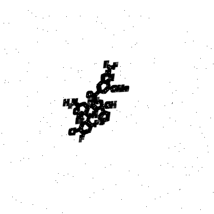 CCOc1c(CC(N)=O)cc([C@@](O)(CNC(=O)c2cc(OC)c3nn(C(F)F)cc3c2)c2ccsc2)nc1-c1cc(Cl)c(F)cc1F